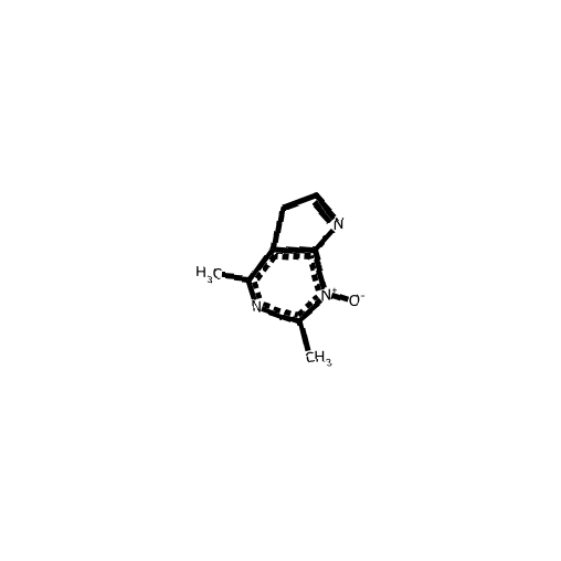 Cc1nc(C)[n+]([O-])c2c1CC=N2